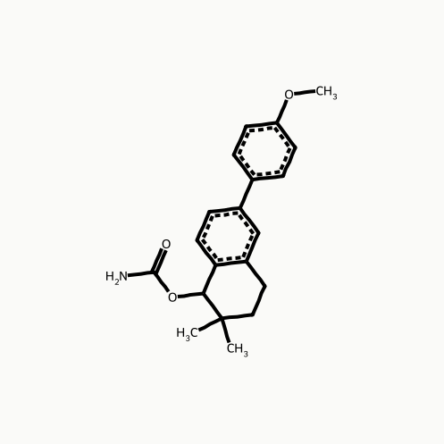 COc1ccc(-c2ccc3c(c2)CCC(C)(C)C3OC(N)=O)cc1